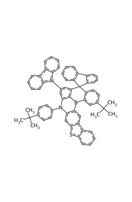 CC(C)(C)c1ccc(N2c3cc4sc5ccccc5c4cc3B3c4cc(C(C)(C)C)ccc4C4(c5ccccc5-c5ccccc54)c4cc(-n5c6ccccc6c6ccccc65)cc2c43)cc1